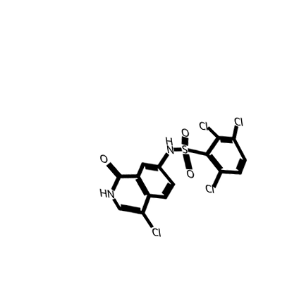 O=c1[nH]cc(Cl)c2ccc(NS(=O)(=O)c3c(Cl)ccc(Cl)c3Cl)cc12